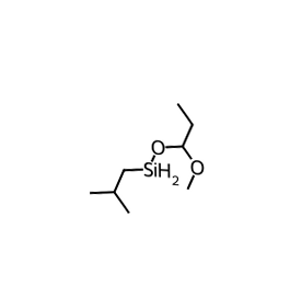 CCC(OC)O[SiH2]CC(C)C